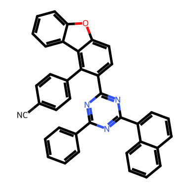 N#Cc1ccc(-c2c(-c3nc(-c4ccccc4)nc(-c4cccc5ccccc45)n3)ccc3oc4ccccc4c23)cc1